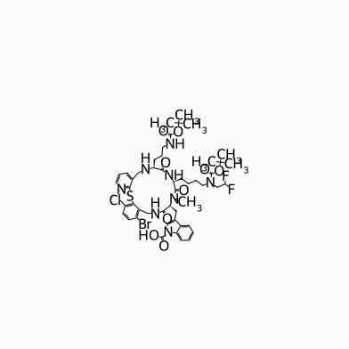 CN1C(=O)[C@H](CCCCN(CC(F)F)C(=O)OC(C)(C)C)NC(=O)[C@H](CCCNC(=O)OC(C)(C)C)NCc2cccnc2Sc2c(Cl)ccc(Br)c2CNC(=O)[C@@H]1Cc1cn(C(=O)O)c2ccccc12